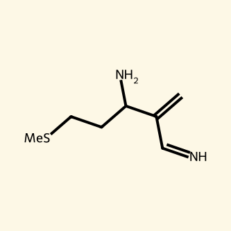 C=C(C=N)C(N)CCSC